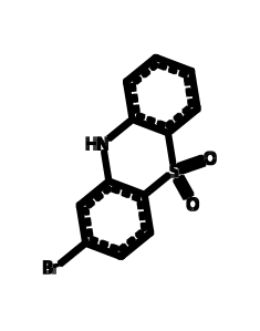 O=S1(=O)c2ccccc2Nc2cc(Br)ccc21